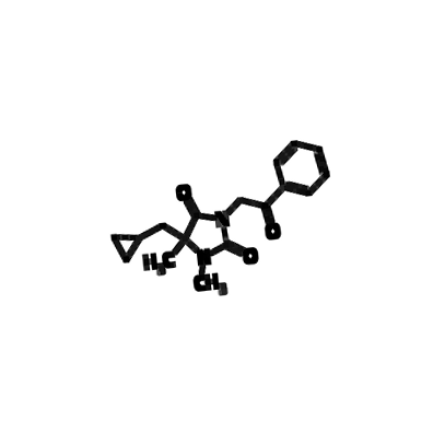 CN1C(=O)N(CC(=O)c2ccccc2)C(=O)C1(C)CC1CC1